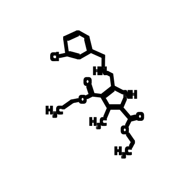 CCOC(=O)c1[nH]c(CNCc2cccc(Cl)c2)c(C(=O)OCC)c1C